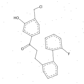 O=C(CCc1ccccc1-c1ccccc1F)c1ccc(CCl)c(O)c1